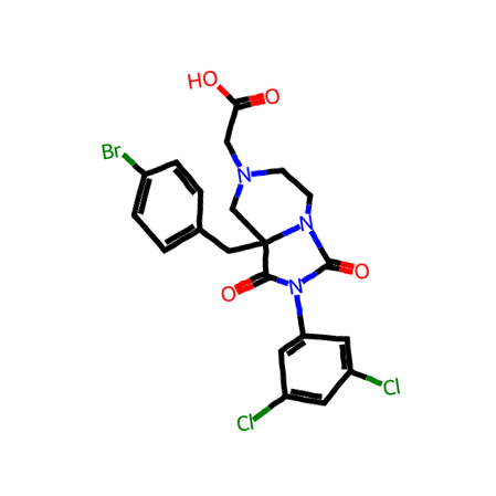 O=C(O)CN1CCN2C(=O)N(c3cc(Cl)cc(Cl)c3)C(=O)C2(Cc2ccc(Br)cc2)C1